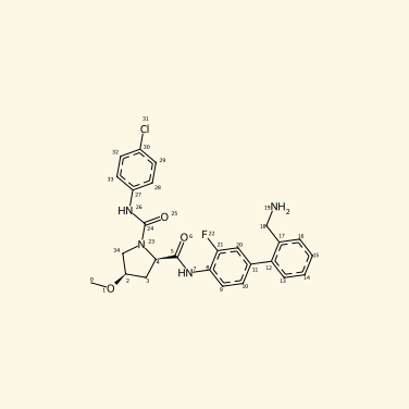 CO[C@@H]1C[C@H](C(=O)Nc2ccc(-c3ccccc3CN)cc2F)N(C(=O)Nc2ccc(Cl)cc2)C1